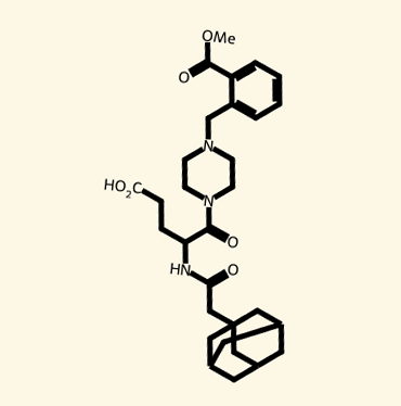 COC(=O)c1ccccc1CN1CCN(C(=O)C(CCC(=O)O)NC(=O)CC23CC4CC(CC(C4)C2)C3)CC1